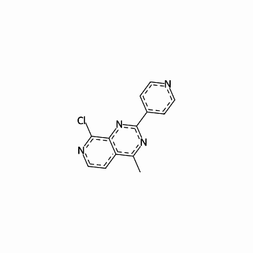 Cc1nc(-c2ccncc2)nc2c(Cl)nccc12